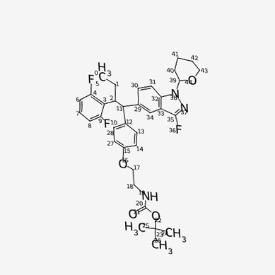 CCC(c1c(F)cccc1F)C(c1ccc(OCCNC(=O)OC(C)(C)C)cc1)c1ccc2c(c1)c(F)nn2C1CCCCO1